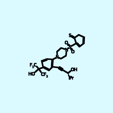 CC(C)[C@@H](O)C#Cc1cc(C(O)(C(F)(F)F)C(F)(F)F)ccc1N1CCN(S(=O)(=O)C2=CC=CCC2=S)CC1